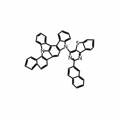 c1ccc2cc(-c3nc(-n4c5ccccc5c5c6c7ccccc7n7c8c9ccccc9ccc8c(cc54)c67)c4sc5ccccc5c4n3)ccc2c1